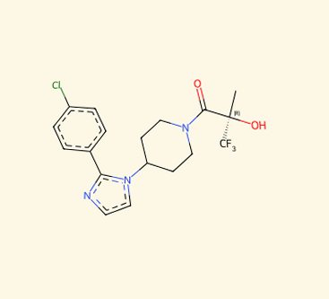 C[C@@](O)(C(=O)N1CCC(n2ccnc2-c2ccc(Cl)cc2)CC1)C(F)(F)F